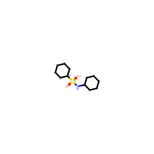 O=S(=O)(NC1CCCCC1)C1CCCCC1